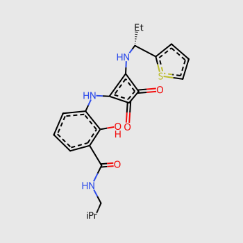 CC[C@@H](Nc1c(Nc2cccc(C(=O)NCC(C)C)c2O)c(=O)c1=O)c1cccs1